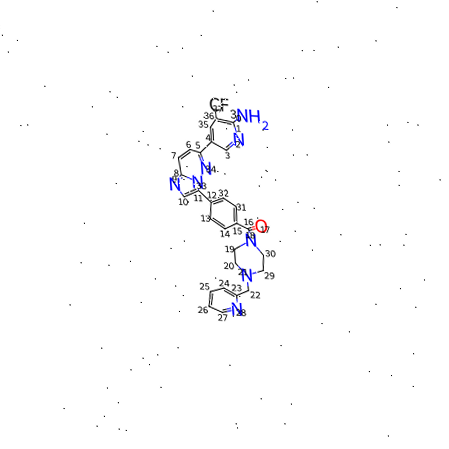 Nc1ncc(-c2ccc3ncc(-c4ccc(C(=O)N5CCN(Cc6ccccn6)CC5)cc4)n3n2)cc1C(F)(F)F